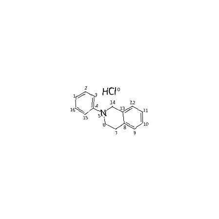 Cl.c1ccc(N2CCc3ccccc3C2)cc1